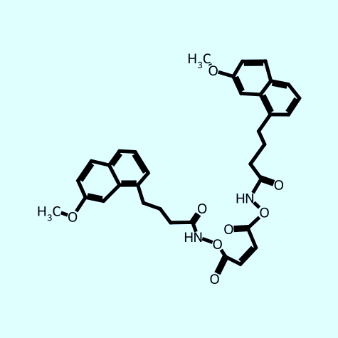 COc1ccc2cccc(CCCC(=O)NOC(=O)/C=C\C(=O)ONC(=O)CCCc3cccc4ccc(OC)cc34)c2c1